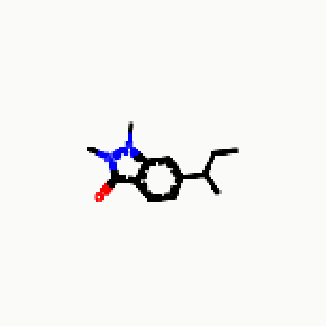 CCC(C)c1ccc2c(=O)n(C)n(C)c2c1